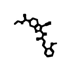 CCSC(=O)N1CCc2c(sc(NC(=O)C=Cc3ccccc3OC)c2C#N)C1